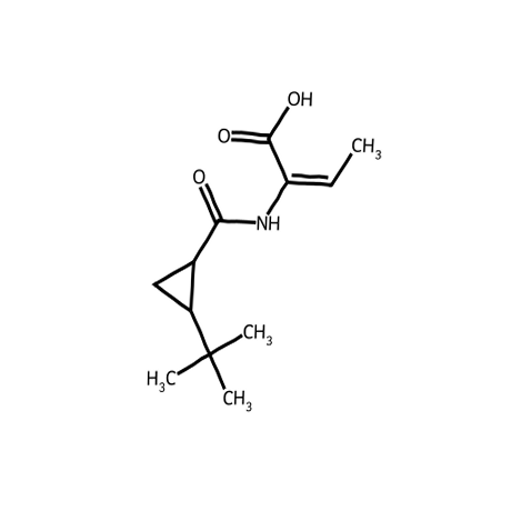 CC=C(NC(=O)C1CC1C(C)(C)C)C(=O)O